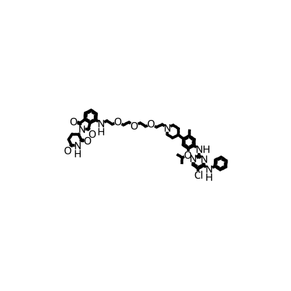 Cc1cc(Nc2ncc(Cl)c(Nc3ccccc3)n2)c(OC(C)C)cc1C1CCN(CCOCCOCCOCCNc2cccc3c2C(=O)N(C2CCC(=O)NC2=O)C3=O)CC1